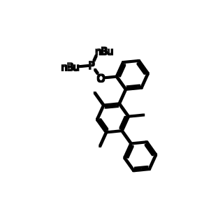 CCCCP(CCCC)Oc1ccccc1-c1c(C)cc(C)c(-c2ccccc2)c1C